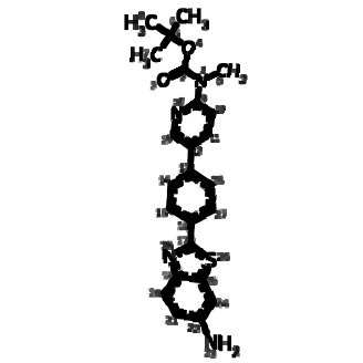 CN(C(=O)OC(C)(C)C)c1ccc(-c2ccc(-c3nc4ccc(N)cc4s3)cc2)cn1